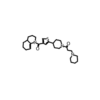 O=C(CCN1CCCCC1)N1CCC(c2cc(C(=O)N3CCCC4CCCC=C43)cs2)CC1